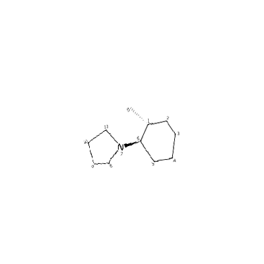 C[C@@H]1CCCC[C@H]1N1CCCC1